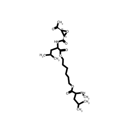 CNC(CC(C)C)C(=O)OCCCCCCOC(=O)C(CC(C)C)NC(=O)[C@H]1O[C@@H]1C(C)=O